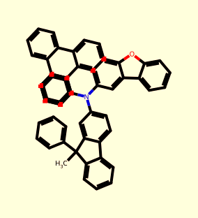 CC1(c2ccccc2)c2ccccc2-c2ccc(N(c3ccc4oc5ccccc5c4c3)c3ccccc3-c3ccccc3-c3ccccc3-c3ccccc3)cc21